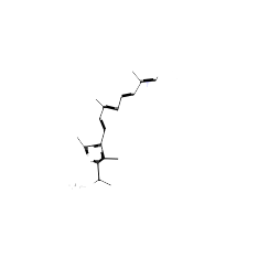 CCOC(=O)/C=C(\C)C=CC=C(C)C=Cc1c(C)sc(C(C)OC)c1C